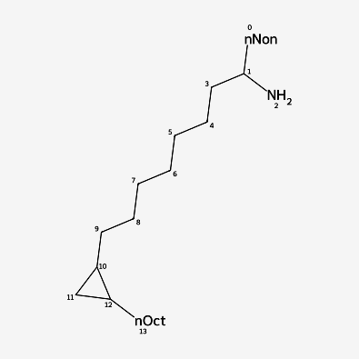 CCCCCCCCCC(N)CCCCCCCC1CC1CCCCCCCC